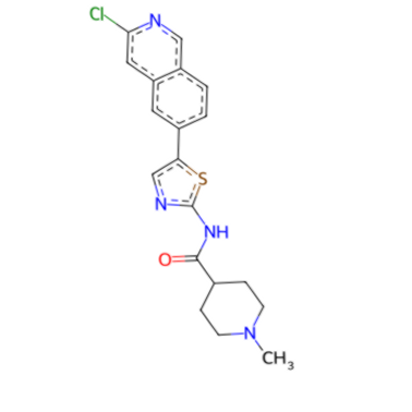 CN1CCC(C(=O)Nc2ncc(-c3ccc4cnc(Cl)cc4c3)s2)CC1